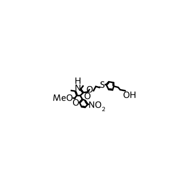 COC(=O)C1=C(C)NC(C)=C(C(=O)OCCCSc2ccc(CCCO)cc2)C1c1cccc([N+](=O)[O-])c1